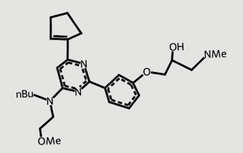 CCCCN(CCOC)c1cc(C2=CCCC2)nc(-c2cccc(OCC(O)CNC)c2)n1